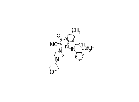 Cc1cc([C@@H](C)Nc2ccccc2C(=O)O)c2nc(N3CCN(C4CCOCC4)CC3)c(C#N)c(=O)n2c1